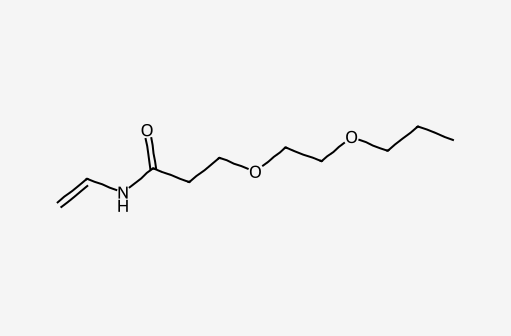 C=CNC(=O)CCOCCOCCC